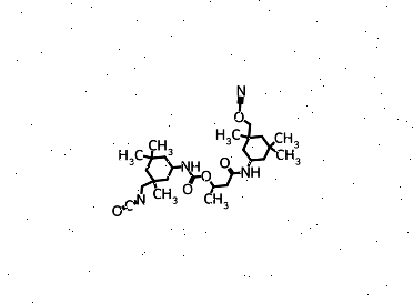 CC(CC(=O)NC1CC(C)(C)CC(C)(COC#N)C1)OC(=O)NC1CC(C)(C)CC(C)(CN=C=O)C1